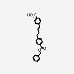 O=C(O)c1ccc(/C=C/CCc2ccc(C(=O)OCc3ccccc3)cc2)cc1